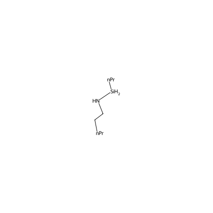 CCCCCN[SiH2]CCC